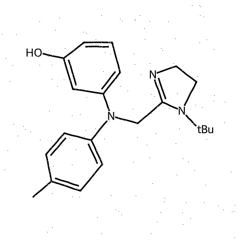 Cc1ccc(N(CC2=NCCN2C(C)(C)C)c2cccc(O)c2)cc1